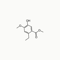 CCc1cc(OC)c(O)cc1C(=O)OC